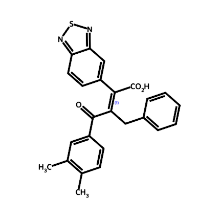 Cc1ccc(C(=O)/C(Cc2ccccc2)=C(/C(=O)O)c2ccc3nsnc3c2)cc1C